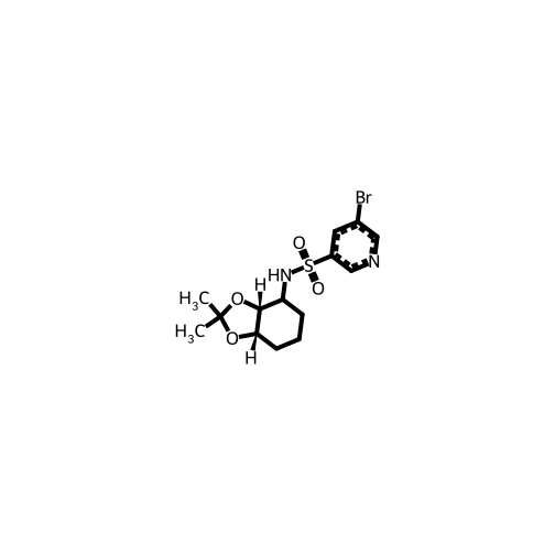 CC1(C)O[C@H]2CCCC(NS(=O)(=O)c3cncc(Br)c3)[C@H]2O1